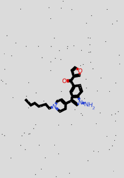 CCCCCCN1CC=C(c2cn(N)c3ccc(C(=O)c4ccoc4)cc23)CC1